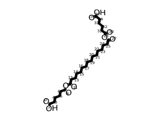 O=C(O)CCCCC(=O)OC(=O)CCCCCCCCCCCCCCC(=O)OC(=O)CCCCC(=O)O